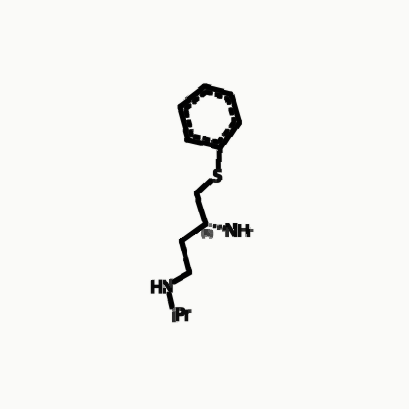 CC(C)NCC[C@@H]([NH])CSc1ccccc1